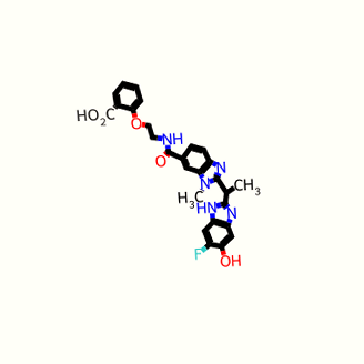 CC(c1nc2cc(O)c(F)cc2[nH]1)c1nc2ccc(C(=O)NCCOc3ccccc3C(=O)O)cc2n1C